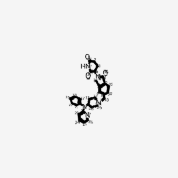 O=C1CCC(N2Cc3cc(CN4CCC(N(c5ccccc5)c5ccccn5)CC4)ccc3C2=O)C(=O)N1